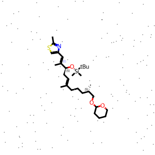 CC(=CC[C@H](O[Si](C)(C)C(C)(C)C)/C(C)=C/c1csc(C)n1)CCC[C@H](C)COC1CCCCO1